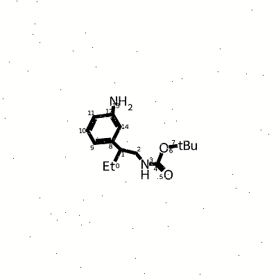 CCC(CNC(=O)OC(C)(C)C)c1cccc(N)c1